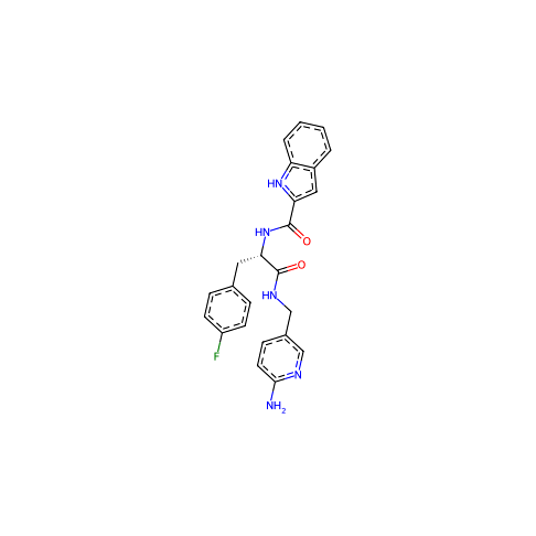 Nc1ccc(CNC(=O)[C@H](Cc2ccc(F)cc2)NC(=O)c2cc3ccccc3[nH]2)cn1